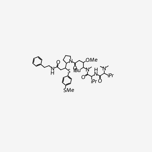 CCC(C)C(C(CC(=O)N1CCCC1C(CC(=O)NCCc1ccccc1)Sc1ccc(SC)cc1)OC)N(C)C(=O)C(NC(=O)C(C(C)C)N(C)C)C(C)C